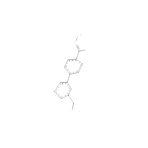 CC(=NO)c1ccc(-c2cccc(CC(=O)O)c2)cc1